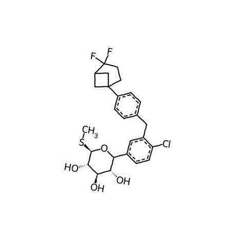 CS[C@H]1OC(c2ccc(Cl)c(Cc3ccc(C45CCC(F)(F)C(C4)C5)cc3)c2)[C@H](O)[C@@H](O)[C@@H]1O